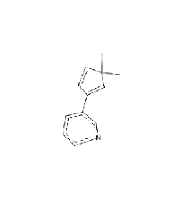 CC1(C)C=CC(c2cccnc2)=C1